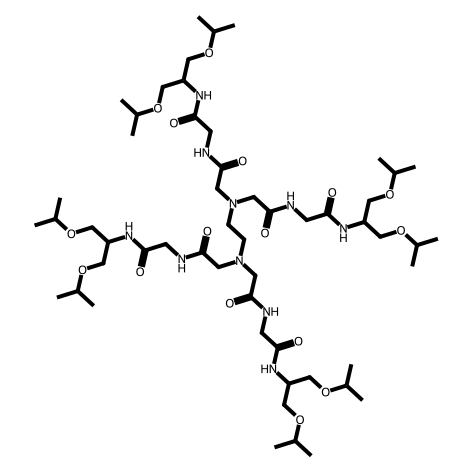 CC(C)OCC(COC(C)C)NC(=O)CNC(=O)CN(CCN(CC(=O)NCC(=O)NC(COC(C)C)COC(C)C)CC(=O)NCC(=O)NC(COC(C)C)COC(C)C)CC(=O)NCC(=O)NC(COC(C)C)COC(C)C